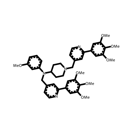 COc1cccc(N(Cc2ccnc(-c3cc(OC)c(OC)c(OC)c3)c2)C2CCN(Cc3ccnc(-c4cc(OC)c(OC)c(OC)c4)c3)CC2)c1